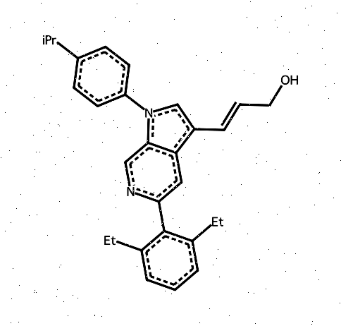 CCc1cccc(CC)c1-c1cc2c(C=CCO)cn(-c3ccc(C(C)C)cc3)c2cn1